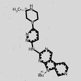 CC[C@@H](C)n1c2cnccc2c2cnc(Nc3ccc(N4CCN[C@@H](C)C4)nn3)nc21